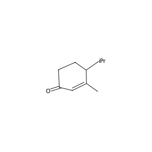 CC1=CC(=O)CCC1C(C)C